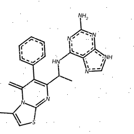 C=C1C(c2ccccc2)=C(C(C)Nc2nc(N)nc3[nH]cnc23)N=C2SC=C(C)N12